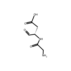 NCC(=O)N[C@H](C=O)CC(=O)O